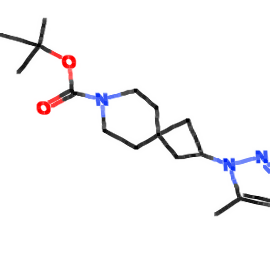 Cc1c(Br)nnn1C1CC2(CCN(C(=O)OC(C)(C)C)CC2)C1